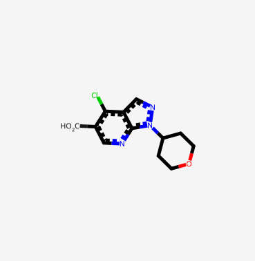 O=C(O)c1cnc2c(cnn2C2CCOCC2)c1Cl